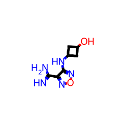 N=C(N)c1nonc1NC1CC(O)C1